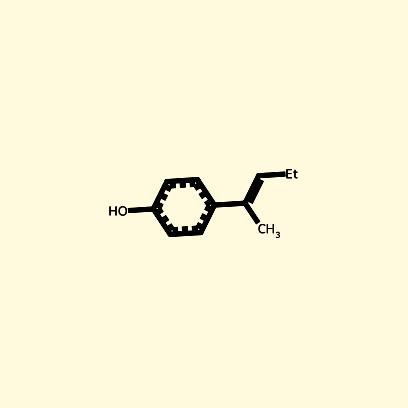 CCC=C(C)c1ccc(O)cc1